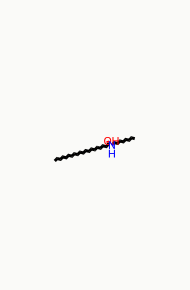 CCCCCCCCCCCCCCCCCCCC(O)NCCCCCCCC